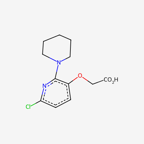 O=C(O)COc1ccc(Cl)nc1N1CCCCC1